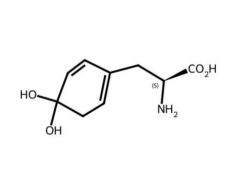 N[C@@H](CC1=CCC(O)(O)C=C1)C(=O)O